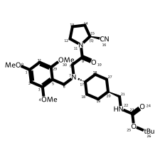 COc1cc(OC)c(CN(CC(=O)N2CCC[C@H]2C#N)[C@H]2CC[C@H](CNC(=O)OC(C)(C)C)CC2)c(OC)c1